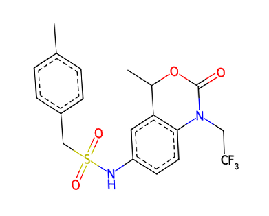 Cc1ccc(CS(=O)(=O)Nc2ccc3c(c2)C(C)OC(=O)N3CC(F)(F)F)cc1